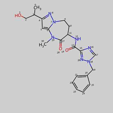 CC(CO)c1cc2n(n1)CCC(NC(=O)c1ncn(Cc3ccccc3)n1)C(=O)N2C